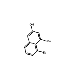 CCc1cccc2cc(O)cc(C(C)CC)c12